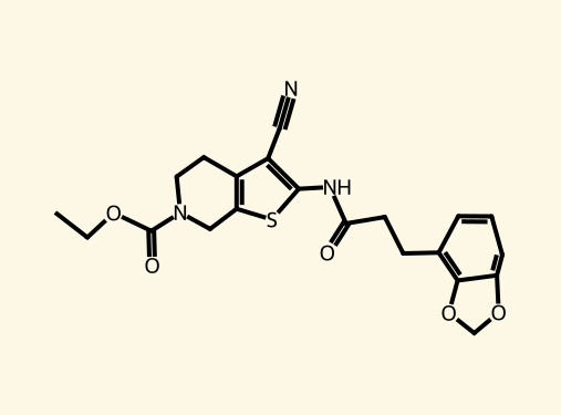 CCOC(=O)N1CCc2c(sc(NC(=O)CCc3cccc4c3OCO4)c2C#N)C1